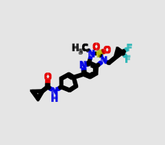 CN1c2nc(C3=CCC(NC(=O)C4CC4)CC3)ccc2N(CC2CC2(F)F)S1(=O)=O